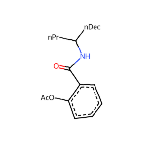 CCCCCCCCCCC(CCC)NC(=O)c1ccccc1OC(C)=O